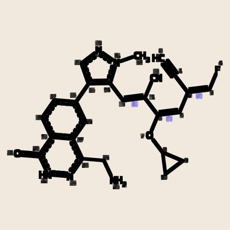 C#CC(=C\F)/C=C(OC1CC1)\C(C#N)=C\c1c(-c2ccc3c(=O)[nH]nc(CN)c3c2)cnn1C